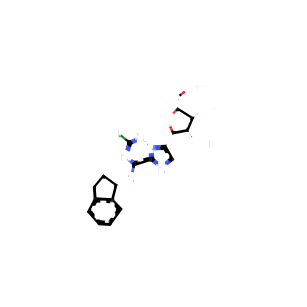 OC[C@H]1O[C@@H](c2cnc3c(N[C@H]4CCc5ccccc54)nc(Cl)nn23)[C@H](O)[C@@H]1O